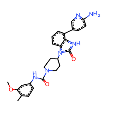 COc1cc(NC(=O)N2CCC(n3c(=O)[nH]c4c(-c5ccc(N)nc5)cccc43)CC2)ccc1C